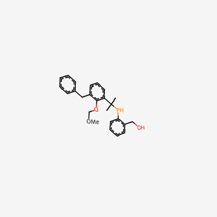 COCOc1c(Cc2ccccc2)cccc1C(C)(C)Pc1ccccc1CO